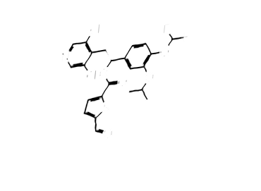 CC(C)Oc1cc([C@H](Cc2c(Cl)cncc2Cl)OC(=O)c2ccc(C=O)s2)ccc1OC(F)F